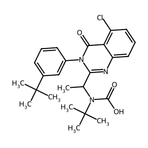 CC(c1nc2cccc(Cl)c2c(=O)n1-c1cccc(C(C)(C)C)c1)N(C(=O)O)C(C)(C)C